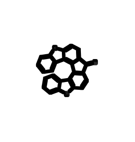 O=C1c2ccc3oc4ccccc4c3c2-c2c1ccc1oc3ccccc3c21